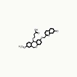 COc1ccc2c(c1)COc1ccc(OCc3ccc4ccc(Cl)cc4n3)cc1C2SCCC(=O)O